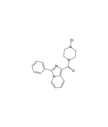 CCN1CCN(C(=O)c2nc(-c3ccccc3)n3ccccc23)CC1